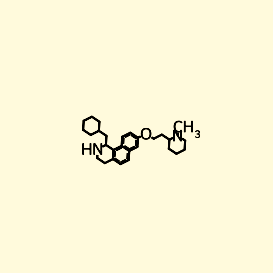 CN1CCCCC1CCOc1ccc2c3c(ccc2c1)CCNC3CC1CCCCC1